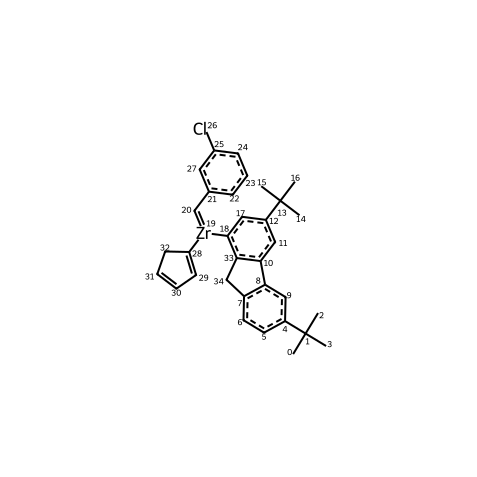 CC(C)(C)c1ccc2c(c1)-c1cc(C(C)(C)C)c[c](/[Zr](=[CH]\c3cccc(Cl)c3)[C]3=CC=CC3)c1C2